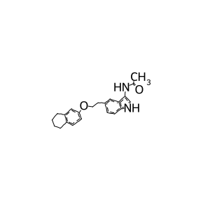 CC(=O)Nc1c[nH]c2ccc(CCOc3ccc4c(c3)CCCC4)cc12